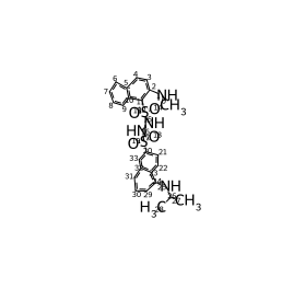 CNc1ccc2ccccc2c1S(=O)(=O)NNS(=O)(=O)c1ccc2c(NC(C)C)cccc2c1